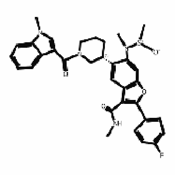 CNC(=O)c1c(-c2ccc(F)cc2)oc2cc(N(C)[S+](C)[O-])c([C@H]3CCCN(C(=O)c4cn(C)c5ccccc45)C3)cc12